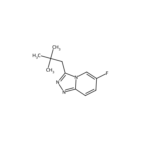 CC(C)(C)Cc1nnc2ccc(F)cn12